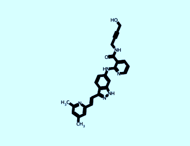 Cc1cc(C)nc(C=Cc2n[nH]c3cc(Nc4ncccc4C(=O)NCC#CCO)ccc23)c1